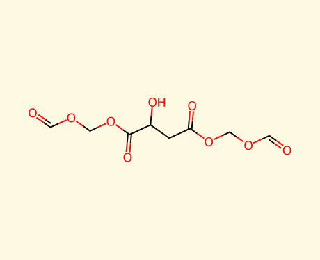 O=COCOC(=O)CC(O)C(=O)OCOC=O